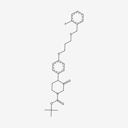 CC(C)(C)OC(=O)N1CCC(c2ccc(OCCCOCc3ccccc3F)cc2)C(=O)C1